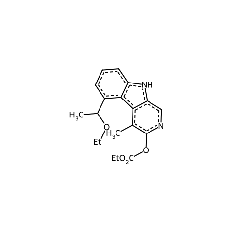 CCOC(=O)Oc1ncc2[nH]c3cccc(C(C)OCC)c3c2c1C